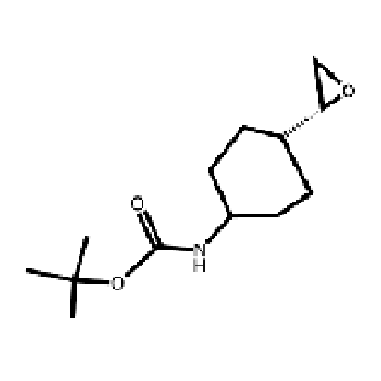 CC(C)(C)OC(=O)NC1CCC([C@@H]2CO2)CC1